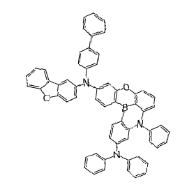 c1ccc(-c2ccc(N(c3ccc4c(c3)Oc3cccc5c3B4c3ccc(N(c4ccccc4)c4ccccc4)cc3N5c3ccccc3)c3ccc4oc5ccccc5c4c3)cc2)cc1